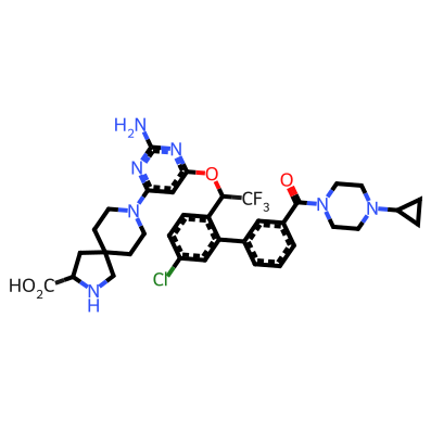 Nc1nc(OC(c2ccc(Cl)cc2-c2cccc(C(=O)N3CCN(C4CC4)CC3)c2)C(F)(F)F)cc(N2CCC3(CC2)CNC(C(=O)O)C3)n1